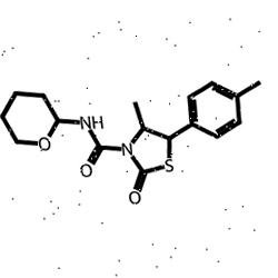 Cc1ccc(C2SC(=O)N(C(=O)NC3CCCCO3)C2C)cc1